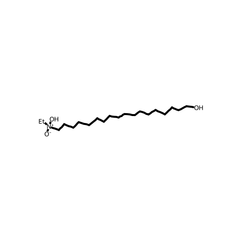 CC[N+]([O-])(O)CCCCCCCCCCCCCCCCCCO